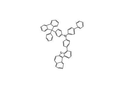 c1ccc(-c2ccc(N(c3ccc(-c4cccc5c4sc4ccc6ccccc6c45)cc3)c3ccc(C4(c5ccccc5)c5ccccc5-c5ccccc54)cc3)cc2)cc1